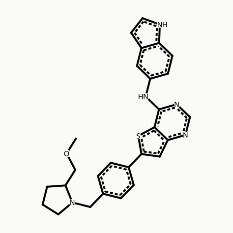 COCC1CCCN1Cc1ccc(-c2cc3ncnc(Nc4ccc5[nH]ccc5c4)c3s2)cc1